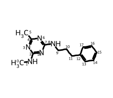 CNc1nc(C)nc(NCCCc2ccccc2)n1